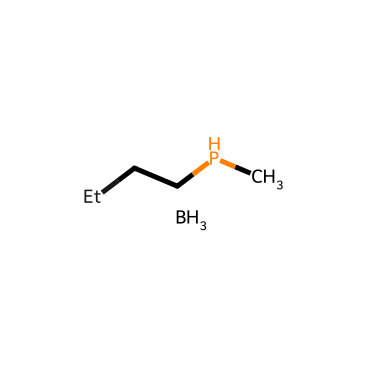 B.CCCCPC